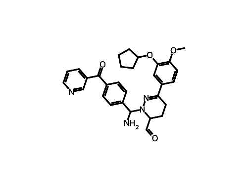 COc1ccc(C2=NN(C(N)c3ccc(C(=O)c4cccnc4)cc3)C(C=O)CC2)cc1OC1CCCC1